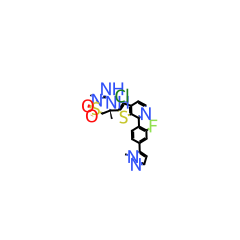 CN1C(=N)N[C@](C)(c2sc3c(-c4ccc(-c5ccnn5C)cc4F)nccc3c2Cl)CS1(=O)=O